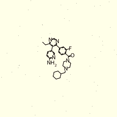 CCc1ncnc(-c2ccc(C(=O)N3CCN(CC4CCCCC4)CC3)c(F)c2)c1-c1ccc(N)nc1